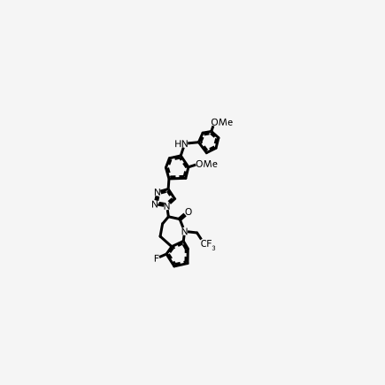 COc1cccc(Nc2ccc(-c3cn(C4CCc5c(F)cccc5N(CC(F)(F)F)C4=O)nn3)cc2OC)c1